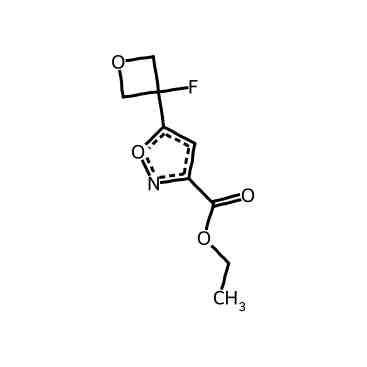 CCOC(=O)c1cc(C2(F)COC2)on1